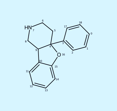 c1ccc(C23CCNCC2c2ccccc2O3)cc1